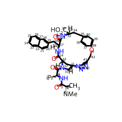 CN[C@@H](C)C(=O)N[C@H](C(=O)N1C[C@@H]2C[C@H]1C(=O)N[C@@H](Cc1ccc3ccccc3c1)C(=O)N[C@H](C(=O)O)Cc1ccc(cc1)OCc1cn2nn1)C(C)C